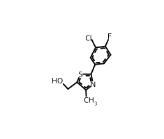 Cc1nc(-c2ccc(F)c(Cl)c2)sc1CO